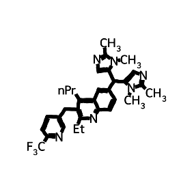 CCCc1c(Cc2ccc(C(F)(F)F)nc2)c(CC)nc2ccc(C(c3cnc(C)n3C)c3cnc(C)n3C)cc12